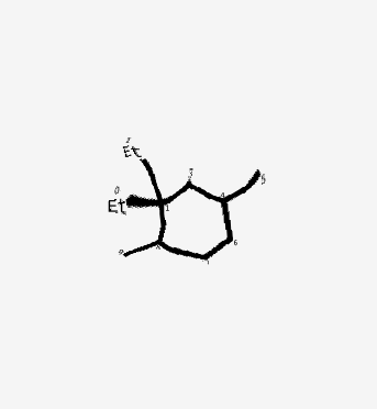 CCC1(CC)CC(C)CCC1C